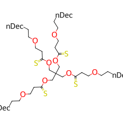 CCCCCCCCCCCCOCCC(=S)OCC(COC(=S)CCOCCCCCCCCCCCC)(COC(=S)CCOCCCCCCCCCCCC)COC(=S)CCOCCCCCCCCCCCC